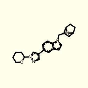 c1cc2c(ccn2CC2CC3CCC2N3)cc1-c1cnn(C2CCCCO2)c1